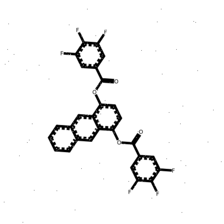 O=C(Oc1ccc(OC(=O)c2cc(F)c(F)c(F)c2)c2cc3ccccc3cc12)c1cc(F)c(F)c(F)c1